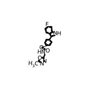 Cc1nnc(CNS(=O)(=O)c2ccc(-c3c[nH]c4cc(F)ccc34)cc2)o1